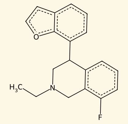 CCN1Cc2c(F)cccc2C(c2cccc3ccoc23)C1